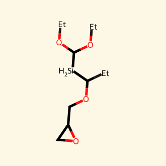 CCOC(OCC)[SiH2]C(CC)OCC1CO1